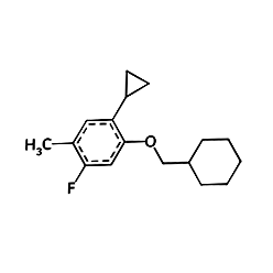 Cc1cc(C2CC2)c(OCC2CCCCC2)cc1F